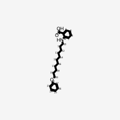 O=C(O)c1ccccc1NCCCCCCCCCCCOc1ccccc1